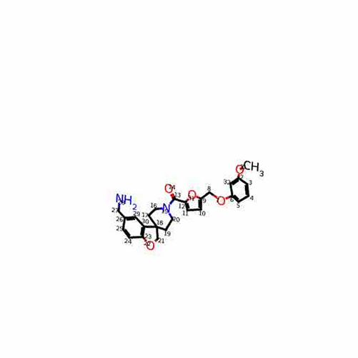 COc1cccc(OCc2ccc(C(=O)N3CCC4(CC3)COc3ccc(CN)cc34)o2)c1